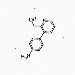 Nc1ccc(-c2cccnc2CO)cc1